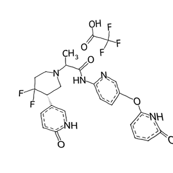 CC(C(=O)Nc1ccc(Oc2cccc(=O)[nH]2)cn1)N1CCC(F)(F)[C@@H](c2ccc(=O)[nH]c2)C1.O=C(O)C(F)(F)F